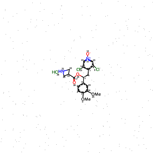 COc1ccc([C@H](Cc2c(Cl)c[n+]([O-])cc2Cl)OC(=O)C2CNC2)cc1OC.Cl